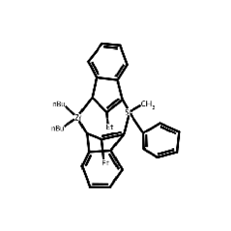 CCC[CH2][Zr]1([CH2]CCC)[CH]2C(CC)=C(c3ccccc32)[Si](C)(c2ccccc2)C2=C(CC)[CH]1c1ccccc12